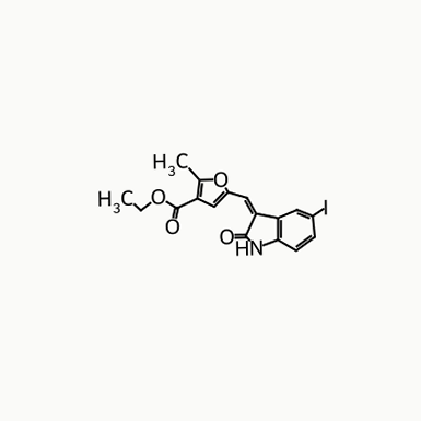 CCOC(=O)c1cc(C=C2C(=O)Nc3ccc(I)cc32)oc1C